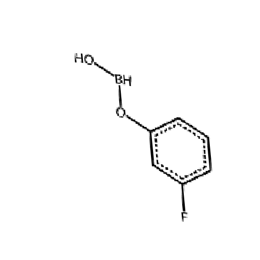 OBOc1cccc(F)c1